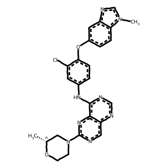 C[C@@H]1CN(c2ncc3ncnc(Nc4ccc(Oc5ccc6c(c5)ncn6C)c(Cl)c4)c3n2)CCO1